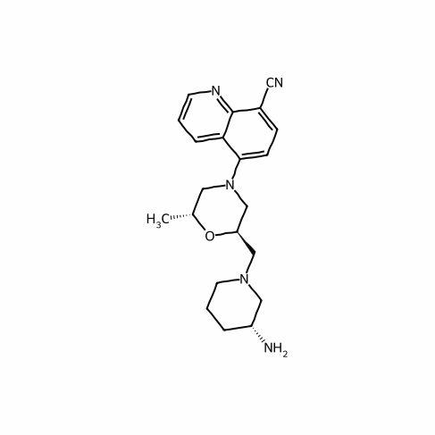 C[C@@H]1CN(c2ccc(C#N)c3ncccc23)C[C@@H](CN2CCC[C@@H](N)C2)O1